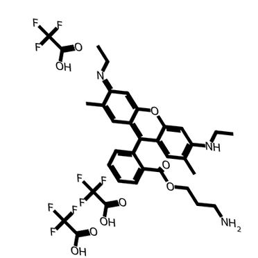 CC/N=c1\cc2oc3cc(NCC)c(C)cc3c(-c3ccccc3C(=O)OCCCN)c-2cc1C.O=C(O)C(F)(F)F.O=C(O)C(F)(F)F.O=C(O)C(F)(F)F